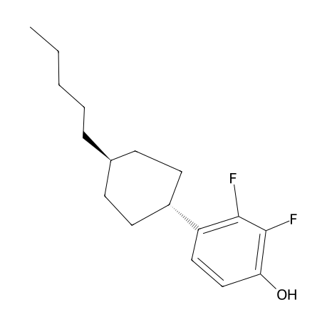 CCCCC[C@H]1CC[C@H](c2ccc(O)c(F)c2F)CC1